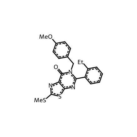 CCc1ccccc1-c1nc2sc(SC)nc2c(=O)n1Cc1ccc(OC)cc1